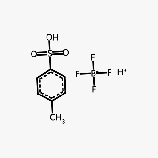 Cc1ccc(S(=O)(=O)O)cc1.F[B-](F)(F)F.[H+]